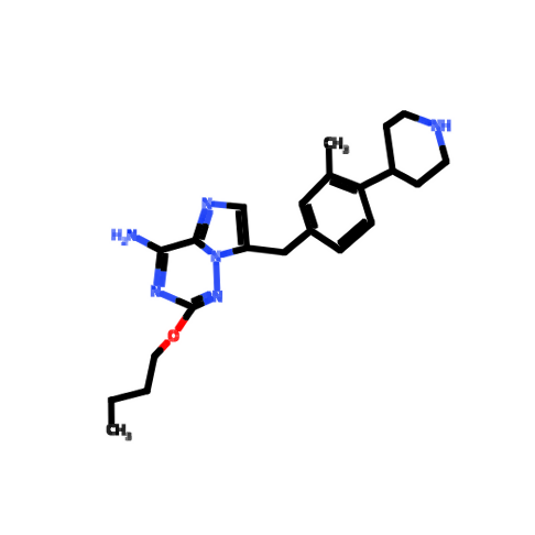 CCCCOc1nc(N)c2ncc(Cc3ccc(C4CCNCC4)c(C)c3)n2n1